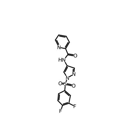 O=C(Nc1cnn(S(=O)(=O)c2ccc(F)c(F)c2)c1)c1ccccn1